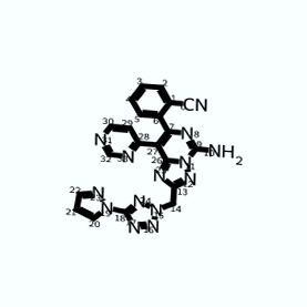 N#Cc1ccccc1-c1nc(N)n2nc(Cn3nnc(-n4cccn4)n3)nc2c1-c1ccncn1